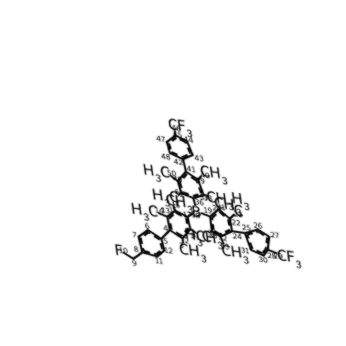 Cc1c(C)c(-c2ccc(CF)cc2)c(C)c(C)c1B(c1c(C)c(C)c(-c2ccc(C(F)(F)F)cc2)c(C)c1C)c1c(C)c(C)c(-c2ccc(C(F)(F)F)cc2)c(C)c1C